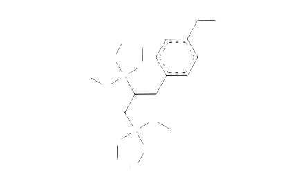 CCO[Si](CC(Cc1ccc(CCl)cc1)[Si](OCC)(OCC)OCC)(OCC)OCC